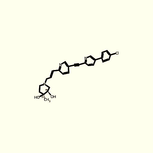 C[C@]1(O)CCN(CC=Cc2ccc(C#Cc3ccc(-c4ccc(Cl)cc4)cn3)cn2)C[C@H]1O